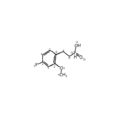 COc1cc(F)ccc1CC[PH](=O)O